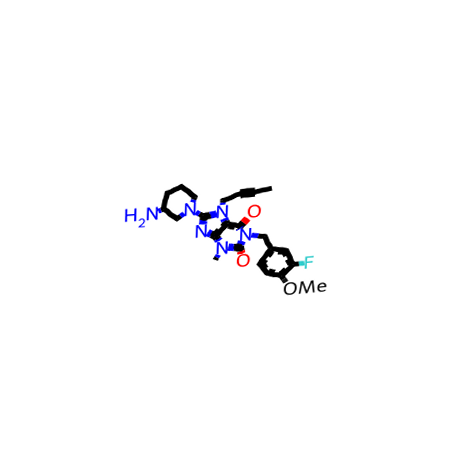 CC#CCn1c(N2CCCC(N)C2)nc2c1c(=O)n(Cc1ccc(OC)c(F)c1)c(=O)n2C